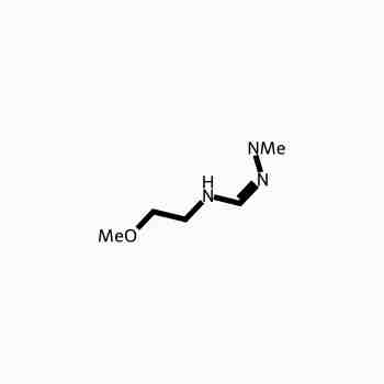 CN/N=C\NCCOC